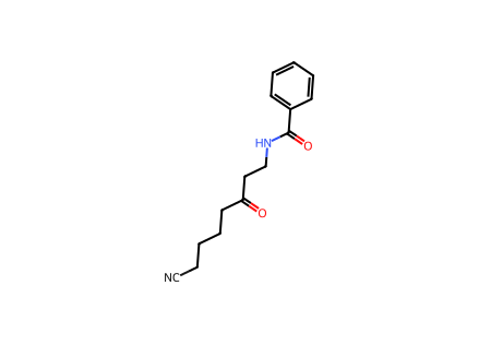 N#CCCCCC(=O)CCNC(=O)c1ccccc1